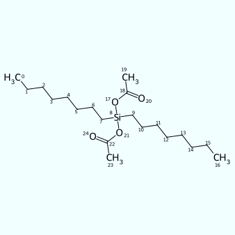 CCCCCCCC[Si](CCCCCCCC)(OC(C)=O)OC(C)=O